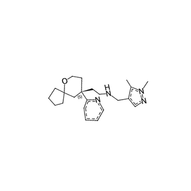 Cc1c(CNCC[C@]2(c3ccccn3)CCOC3(CCCC3)C2)cnn1C